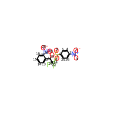 O=[N+]([O-])c1ccc(S(=O)(=O)OC(c2ccccc2[N+](=O)[O-])C(F)(F)F)cc1